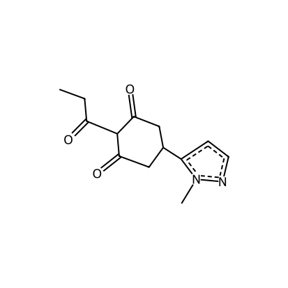 CCC(=O)C1C(=O)CC(c2ccnn2C)CC1=O